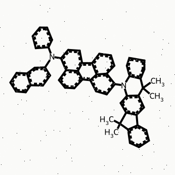 CC1(C)c2ccccc2-c2cc3c(cc21)N(c1ccc2c4cccc5c(N(c6ccccc6)c6ccc7ccccc7c6)ccc(c6cccc1c62)c54)c1ccccc1C3(C)C